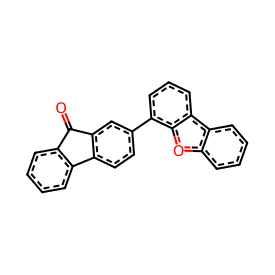 O=C1c2ccccc2-c2ccc(-c3cccc4c3oc3ccccc34)cc21